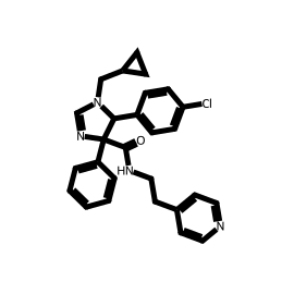 O=C(NCCc1ccncc1)C1(c2ccccc2)N=CN(CC2CC2)C1c1ccc(Cl)cc1